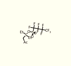 CCS(CC)(CC(C)=O)OS(=O)(=O)C(F)(F)C(F)(F)C(F)(F)C(F)(F)F